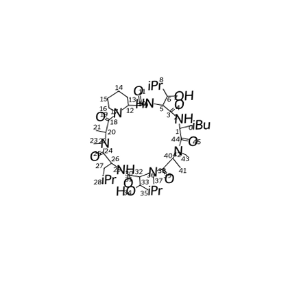 CCC(C)C1NC(=O)C(C(O)C(C)C)NC(=O)C2CCCCN2C(=O)C(C)N(C)C(=O)C(CC(C)C)NC(=O)C(C(O)C(C)C)N(C)C(=O)C(C)N(C)C1=O